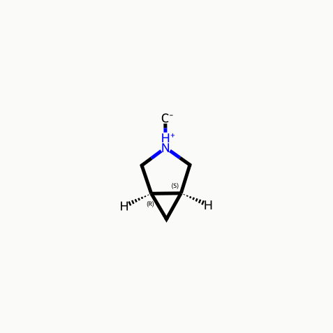 [CH2-][NH+]1C[C@H]2C[C@H]2C1